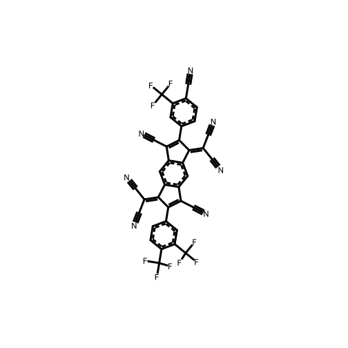 N#CC(C#N)=C1C(c2ccc(C#N)c(C(F)(F)F)c2)=C(C#N)c2cc3c(cc21)C(C#N)=C(c1ccc(C(F)(F)F)c(C(F)(F)F)c1)C3=C(C#N)C#N